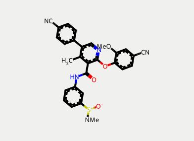 CN[S+]([O-])c1cccc(NC(=O)c2c(Oc3ccc(C#N)cc3OC)ncc(-c3ccc(C#N)cc3)c2C)c1